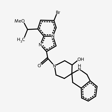 COC(C)c1cc(Br)cn2cc(C(=O)N3CCC4(Cc5ccccc5CN4)C(O)C3)nc12